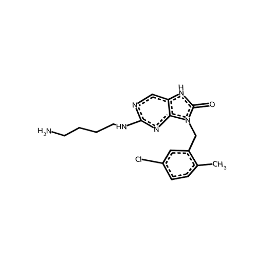 Cc1ccc(Cl)cc1Cn1c(=O)[nH]c2cnc(NCCCCN)nc21